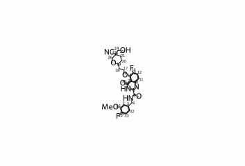 COc1cc(CNC(=O)c2nc3ccc(F)c(OCCC4CCC(C#N)(CO)CO4)c3c(=O)[nH]2)ccc1F